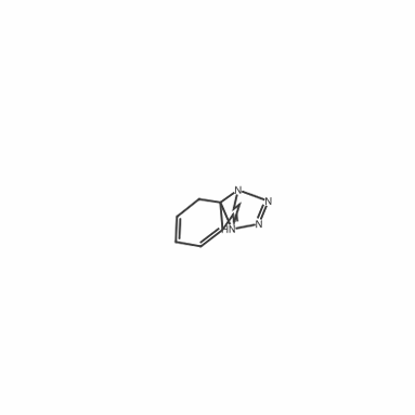 C1=CCC23NN=NN2CCC=CC3=C1